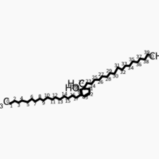 CCCCCCCCCCCCCCCCCCC1=C(O)C(C)(CCCCCCCCCCCCCCCCCC)CC=C1